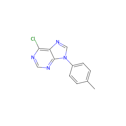 Cc1ccc(-n2cnc3c(Cl)ncnc32)cc1